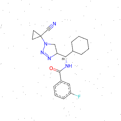 N#CC1(N2CC([C@@H](NC(=O)c3cccc(F)c3)C3CCCCC3)N=N2)CC1